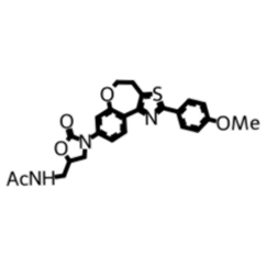 COc1ccc(-c2nc3c(s2)CCOc2cc(N4CC(CNC(C)=O)OC4=O)ccc2-3)cc1